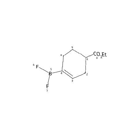 CCOC(=O)C1CC=C(B(F)F)CC1